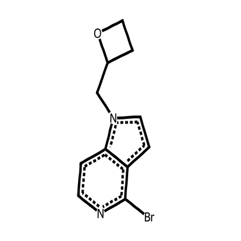 Brc1nccc2c1ccn2CC1CCO1